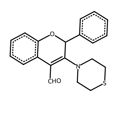 O=CC1=C(N2CCSCC2)C(c2ccccc2)Oc2ccccc21